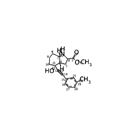 COC(=O)C1C[C@H]2[C@H](CCC[C@]2(O)C#Cc2cccc(C)c2)N1